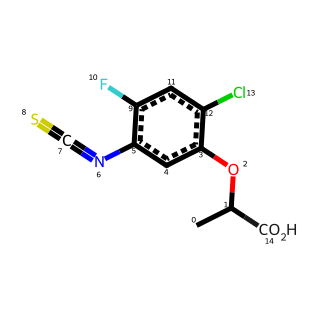 CC(Oc1cc(N=C=S)c(F)cc1Cl)C(=O)O